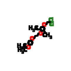 CCc1cc(OCC=C(Cl)Cl)cc(CC)c1OCCCCOc1ccc(OC(C)C)cc1